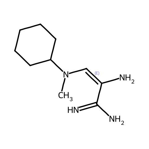 CN(/C=C(/N)C(=N)N)C1CCCCC1